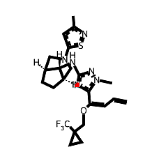 C=C/C=C(/OCC1(C(F)(F)F)CC1)c1nc(N[C@@H]2[C@@H]3CC[C@H]2CN(c2cc(C)ns2)C3)nn1C